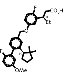 CC[C@H](CC(=O)O)c1cc(OCc2ccc(-c3cc(OC)ccc3F)c([C@@H]3CCCC3(C)C)c2)ccc1F